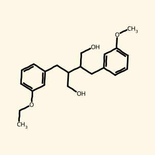 CCOc1cccc(CC(CO)C(CO)Cc2cccc(OC)c2)c1